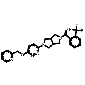 O=C(c1ccccc1C(F)(F)F)N1CC2CN(c3ccc(OCc4ccccn4)nn3)CC2C1